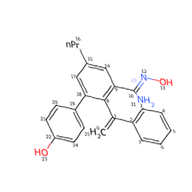 C=C(c1ccccc1)c1c(/C(N)=N/O)cc(CCC)cc1-c1ccc(O)cc1